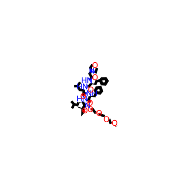 COCCOCCOCCO/N=C(/[C@H](CCC(C)C)NC(=O)[C@H](Cc1ccccc1)NC(=O)C(CC(C)C)NC(=O)[C@H](CCc1ccccc1)NC(=O)CN1CCOCC1)[C@@]1(C)CO1